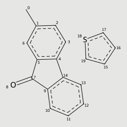 Cc1ccc2c(c1)C(=O)c1ccccc1-2.c1ccsc1